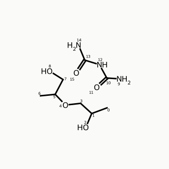 CC(O)COC(C)CO.NC(=O)NC(N)=O